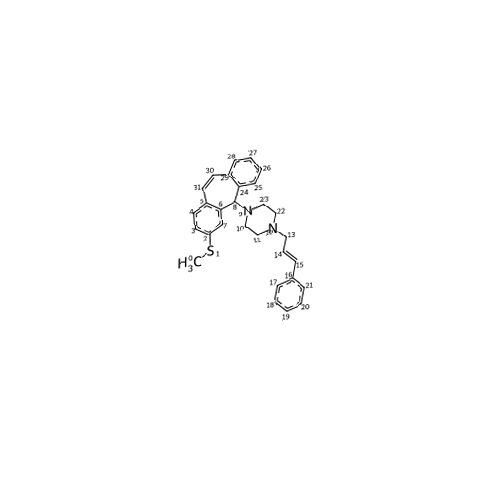 CSc1ccc2c(c1)C(N1CCN(CC=Cc3ccccc3)CC1)c1ccccc1C=C2